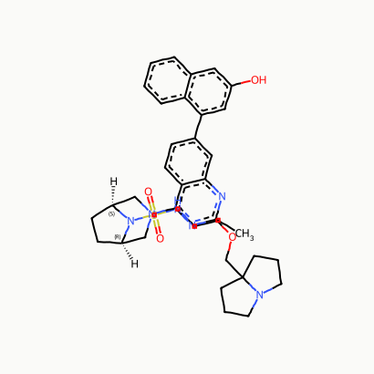 CCCNS(=O)(=O)N1[C@@H]2CC[C@H]1CN(c1nc(OCC34CCCN3CCC4)nc3cc(-c4cc(O)cc5ccccc45)ccc13)C2